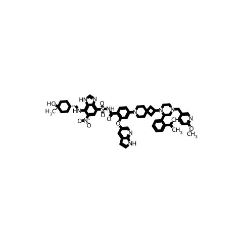 COc1ccc(CN2CCN(C3CC4(CCN(c5ccc(C(=O)NS(=O)(=O)c6cc([N+](=O)[O-])c(NC[C@H]7CC[C@](C)(O)CC7)c7[nH]cnc67)c(Oc6cnc7[nH]ccc7c6)c5)CC4)C3)C(c3ccccc3C(C)C)C2)cn1